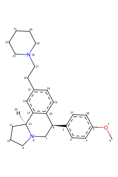 COc1ccc([C@H]2CN3CCC[C@H]3c3cc(CCN4CCCCC4)ccc32)cc1